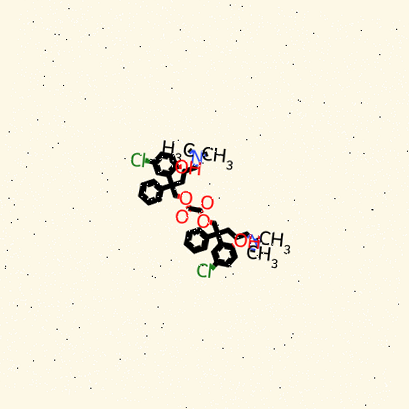 CN(C)CCCC(COC(=O)C(=O)OCC(CCCN(C)C)(c1ccccc1)c1cc(Cl)ccc1O)(c1ccccc1)c1cc(Cl)ccc1O